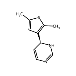 Cc1cc([C@@H]2C=CN=CN2)c(C)s1